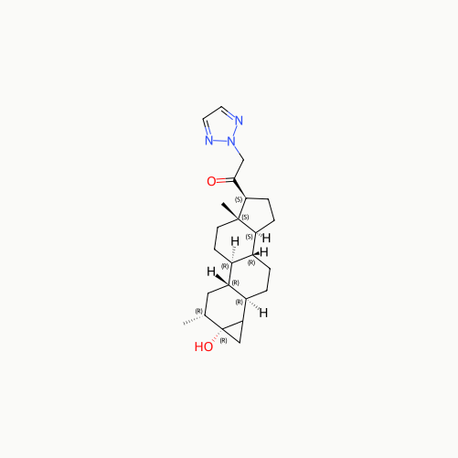 C[C@@H]1C[C@@H]2[C@H]3CC[C@]4(C)[C@@H](C(=O)Cn5nccn5)CC[C@H]4[C@@H]3CC[C@H]2C2C[C@]21O